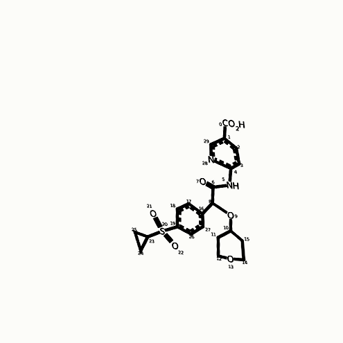 O=C(O)c1ccc(NC(=O)C(OC2CCOCC2)c2ccc(S(=O)(=O)C3CC3)cc2)nc1